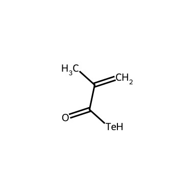 C=C(C)C(=O)[TeH]